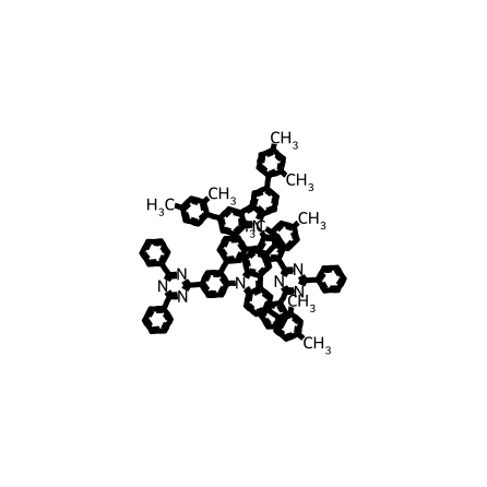 Cc1ccc(-c2ccc3c(c2)c2cc(-c4ccc(C)cc4C)ccc2n3-c2ccc(-c3nc(-c4ccccc4)nc(-c4ccccc4)n3)cc2-c2cccc(-c3cc(-c4nc(-c5ccccc5)nc(-c5ccccc5)n4)ccc3-n3c4ccc(-c5ccc(C)cc5C)cc4c4cc(-c5ccc(C)cc5C)ccc43)c2)c(C)c1